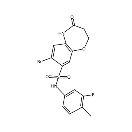 Cc1ccc(NS(=O)(=O)c2cc3c(cc2Br)NC(=O)CCO3)cc1F